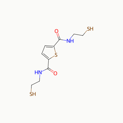 O=C(NCCS)c1ccc(C(=O)NCCS)s1